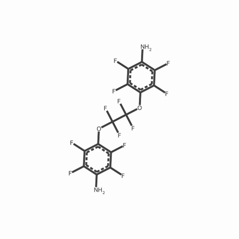 Nc1c(F)c(F)c(OC(F)(F)C(F)(F)Oc2c(F)c(F)c(N)c(F)c2F)c(F)c1F